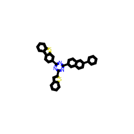 c1ccc(-c2ccc3cc(-c4nc(-c5ccc6c(c5)sc5ccccc56)nc(-c5cc6ccccc6s5)n4)ccc3c2)cc1